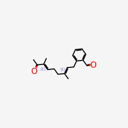 CC(=O)/C(C)=C/CC/C(C)=C/Cc1ccccc1C=O